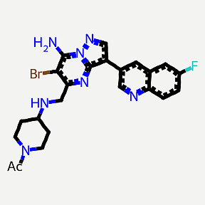 CC(=O)N1CCC(NCc2nc3c(-c4cnc5ccc(F)cc5c4)cnn3c(N)c2Br)CC1